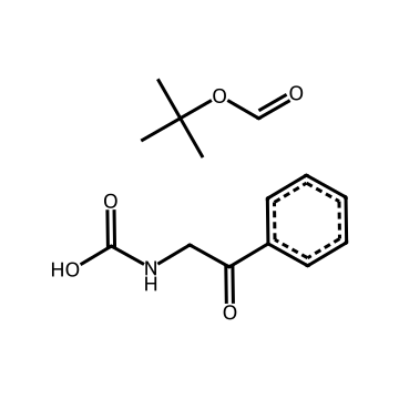 CC(C)(C)OC=O.O=C(O)NCC(=O)c1ccccc1